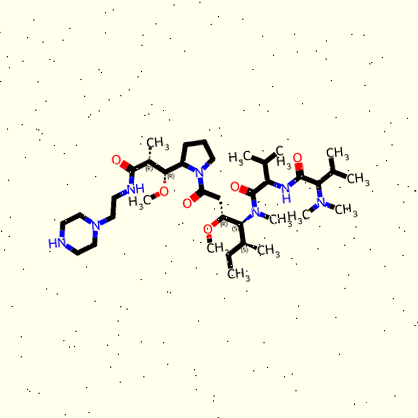 CC[C@H](C)[C@@H]([C@@H](CC(=O)N1CCCC1[C@H](OC)[C@@H](C)C(=O)NCCN1CCNCC1)OC)N(C)C(=O)C(NC(=O)C(C(C)C)N(C)C)C(C)C